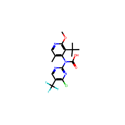 COc1ncc(C)c(N(C(=O)O)c2ncc(C(F)(F)F)c(Cl)n2)c1C(C)(C)C